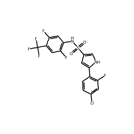 O=S(=O)(Nc1cc(F)c(C(F)(F)F)cc1F)c1c[nH]c(-c2ccc(Cl)cc2F)c1